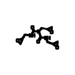 O=C(NCC1CO1)N(C[C@H]1CO1)C(=O)NCC1CO1